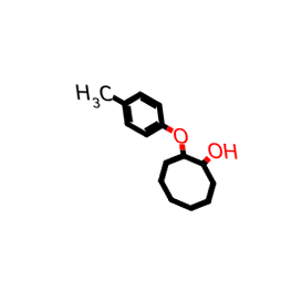 Cc1ccc(OC2CCCCCCC2O)cc1